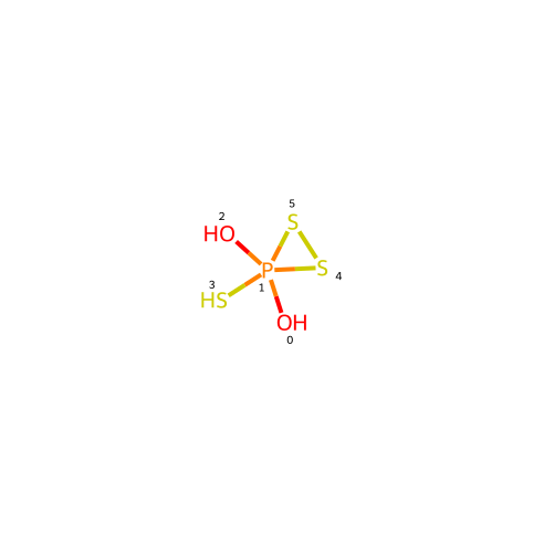 OP1(O)(S)SS1